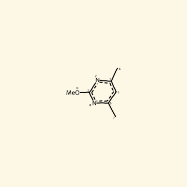 COc1nc(C)cc(C)n1